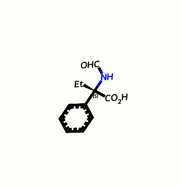 CC[C@@](NC=O)(C(=O)O)c1ccccc1